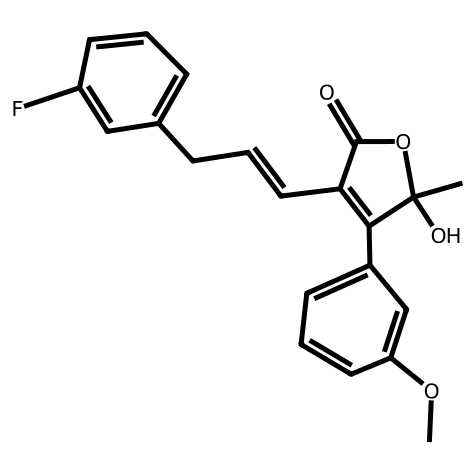 COc1cccc(C2=C(/C=C/Cc3cccc(F)c3)C(=O)OC2(C)O)c1